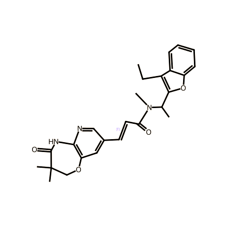 CCc1c(C(C)N(C)C(=O)/C=C/c2cnc3c(c2)OCC(C)(C)C(=O)N3)oc2ccccc12